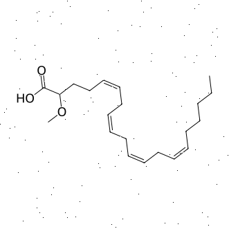 CCCCC/C=C\C/C=C\C/C=C\C/C=C\CCC(OC)C(=O)O